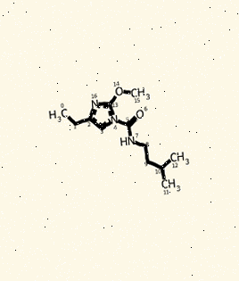 CCc1cn(C(=O)NCCC(C)C)c(OC)n1